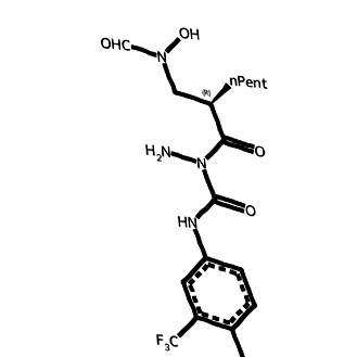 CCCCC[C@H](CN(O)C=O)C(=O)N(N)C(=O)Nc1ccc(Cl)c(C(F)(F)F)c1